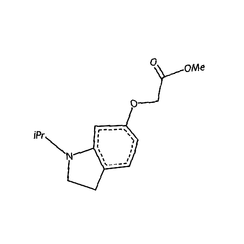 COC(=O)COc1ccc2c(c1)N(C(C)C)CC2